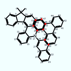 CC1(C)c2ccccc2-c2c(-c3ccccc3N(c3ccc4ccccc4c3)c3ccccc3-c3ccccc3-c3ccccc3-c3ccccc3)cccc21